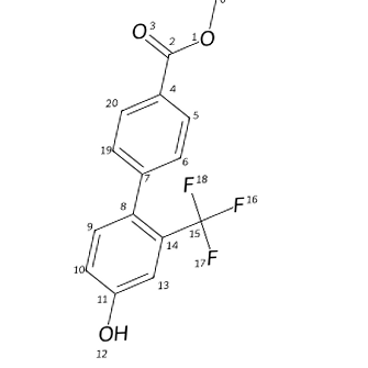 COC(=O)c1ccc(-c2ccc(O)cc2C(F)(F)F)cc1